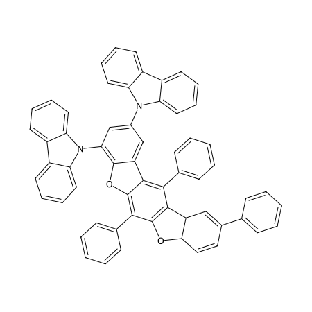 C1=CC2Oc3c(c(-c4ccccc4)c4c(oc5c(-n6c7ccccc7c7ccccc76)cc(-n6c7ccccc7c7ccccc76)cc54)c3-c3ccccc3)C2C=C1c1ccccc1